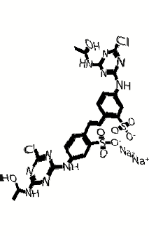 CC(O)Nc1nc(Cl)nc(Nc2ccc(C=Cc3ccc(Nc4nc(Cl)nc(NC(C)O)n4)cc3S(=O)(=O)[O-])c(S(=O)(=O)[O-])c2)n1.[Na+].[Na+]